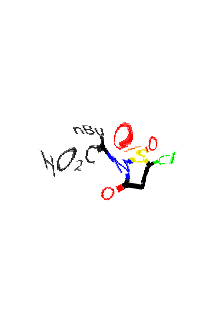 CCCCC(C(=O)O)N1C(=O)C=C(Cl)S1(=O)=O